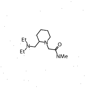 CCN(CC)CC1CCCCN1CC(=O)NC